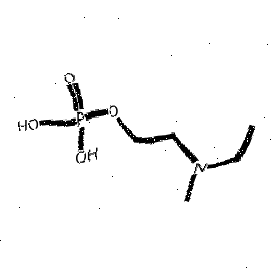 CCN(C)CCOP(=O)(O)O